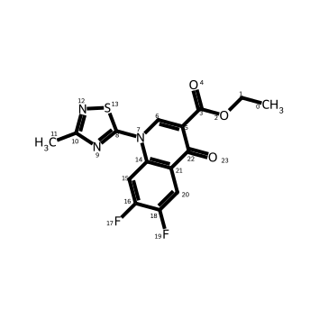 CCOC(=O)c1cn(-c2nc(C)ns2)c2cc(F)c(F)cc2c1=O